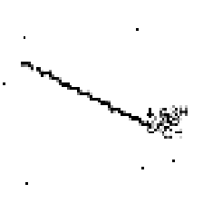 CCCCCCCCCCCCCCCCCCCCCCCCCC(=O)O[C@H](CO)COP(=O)(O)O